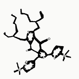 CCCCC(CC)Cc1sc(CC(CC)CCCC)c2c1C(=O)c1c(-c3cc[c]([Sn]([CH3])([CH3])[CH3])s3)sc(-c3cc[c]([Sn]([CH3])([CH3])[CH3])s3)c1C2=O